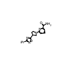 CC(C)c1noc(C2CCN(c3cccc(C(N)=O)n3)C2)n1